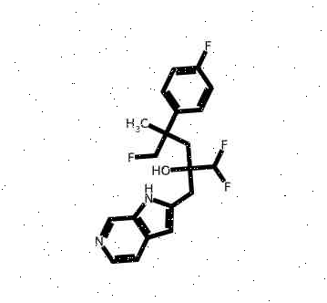 CC(CF)(CC(O)(Cc1cc2ccncc2[nH]1)C(F)F)c1ccc(F)cc1